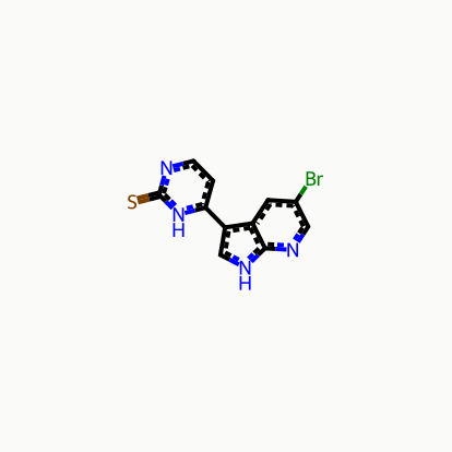 S=c1nccc(-c2c[nH]c3ncc(Br)cc23)[nH]1